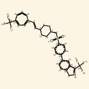 O=S(=O)(CC1CCC(/C=C/C2=CC=C(C(F)(F)F)C=C=C2)CC1)c1ccc(-c2ccc3c(c2)C(C(F)(F)F)=NC3)cc1